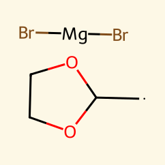 [Br][Mg][Br].[CH2]C1OCCO1